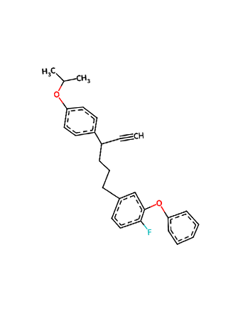 C#CC(CCCc1ccc(F)c(Oc2ccccc2)c1)c1ccc(OC(C)C)cc1